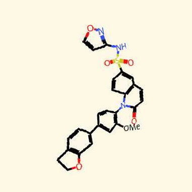 COc1cc(-c2ccc3c(c2)OCC3)ccc1-n1c(=O)ccc2cc(S(=O)(=O)Nc3ccon3)ccc21